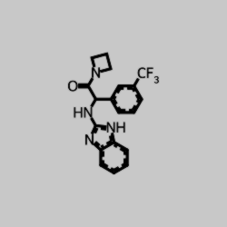 O=C(C(Nc1nc2ccccc2[nH]1)c1cccc(C(F)(F)F)c1)N1CCC1